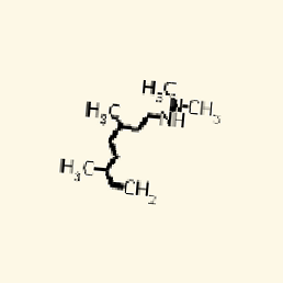 C=CC(C)CCC(C)CCNN(C)C